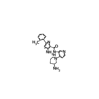 Cc1ccccc1-c1nc(C(=O)Nc2cnccc2N2CCC[C@H](N)C2)c(N)s1